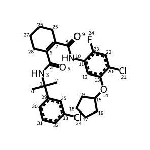 CC(C)(NC(=O)C1=C(C(=O)Nc2cc(OC3CCCC3)c(Cl)cc2F)CCCC1)c1cccc(Cl)c1